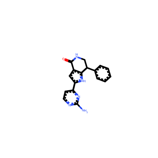 Nc1nccc(-c2cc3c([nH]2)C(c2ccccc2)CNC3=O)n1